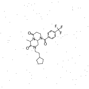 CC1C(=O)N(CCC2CCCC2)CC2N(C(=O)c3ccc(C(F)(F)F)cc3)CCC(=O)N12